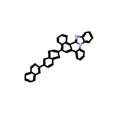 c1ccc2cc(-c3ccc4cc(-c5cc6c7ccccc7n7c8ccccc8nc7c6c6ccccc56)ccc4c3)ccc2c1